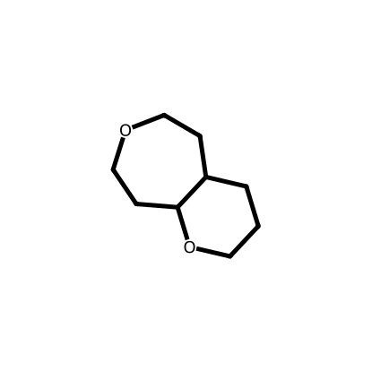 C1COC2CCOCCC2C1